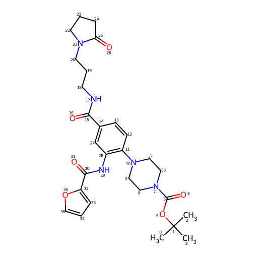 CC(C)(C)OC(=O)N1CCN(c2ccc(C(=O)NCCCN3CCCC3=O)cc2NC(=O)c2ccco2)CC1